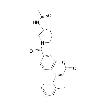 CC(=O)NC1CCCN(C(=O)c2ccc3c(-c4ccccc4C)cc(=O)oc3c2)C1